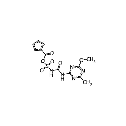 COc1nc(C)nc(NC(=O)NS(=O)(=O)OC(=O)c2cccs2)n1